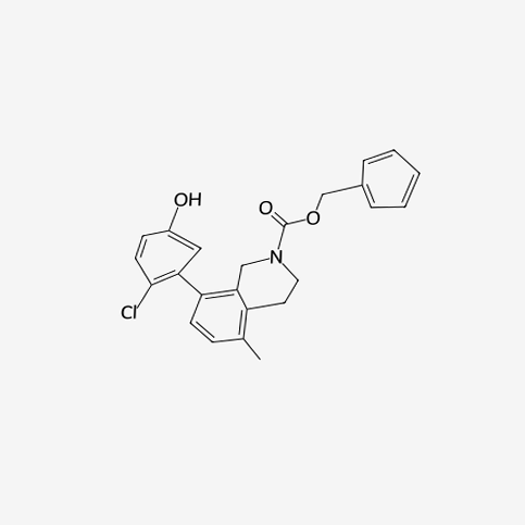 Cc1ccc(-c2cc(O)ccc2Cl)c2c1CCN(C(=O)OCc1ccccc1)C2